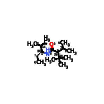 CC[C@@H](NC(=O)[C@@H](C(C)C)C(C)(C)C)C(C)C